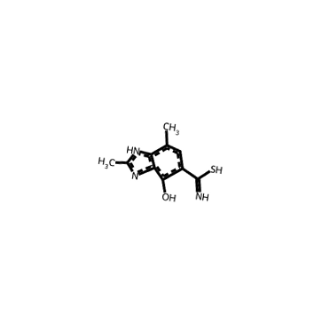 Cc1nc2c(O)c(C(=N)S)cc(C)c2[nH]1